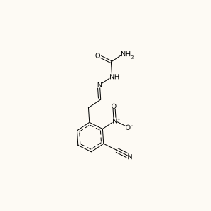 N#Cc1cccc(CC=NNC(N)=O)c1[N+](=O)[O-]